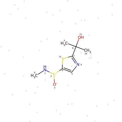 CN[S+]([O-])c1cnc(C(C)(C)O)s1